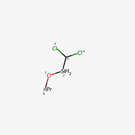 CCCO[SiH2]C(Cl)Cl